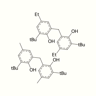 CCc1cc(Cc2cc(CC)cc(C(C)(C)C)c2O)c(O)c(C(C)(C)C)c1.Cc1cc(Cc2cc(C)cc(C(C)(C)C)c2O)c(O)c(C(C)(C)C)c1